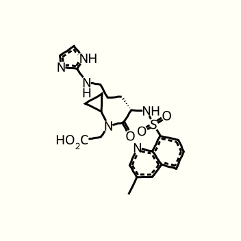 Cc1cnc2c(S(=O)(=O)N[C@@H](CCCNc3ncc[nH]3)C(=O)N(CC(=O)O)C3CC3)cccc2c1